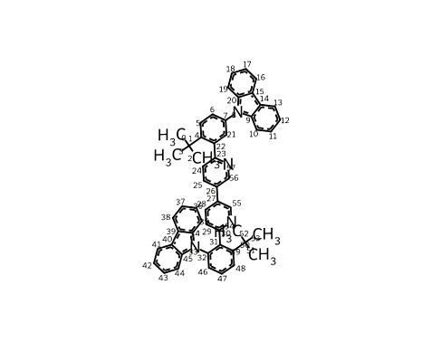 CC(C)(C)c1ccc(-n2c3ccccc3c3ccccc32)cc1-c1ccc(-c2ccc(-c3c(-n4c5ccccc5c5ccccc54)cccc3C(C)(C)C)nc2)cn1